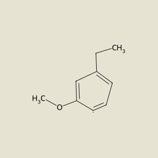 CCc1cc[c]c(OC)c1